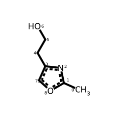 Cc1nc(CCO)[c]o1